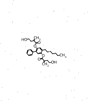 C=C(CCO)C(=O)Oc1cc(-c2ccccc2)c(OC(=O)C(=C)CCO)cc1CCCCCCC